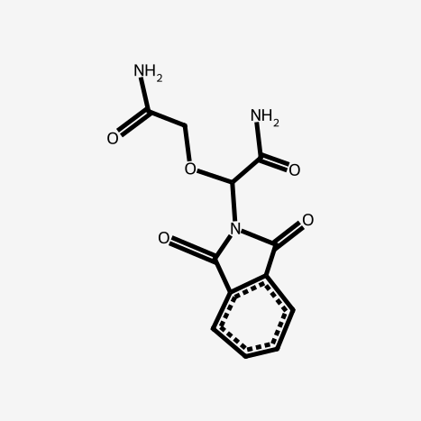 NC(=O)COC(C(N)=O)N1C(=O)c2ccccc2C1=O